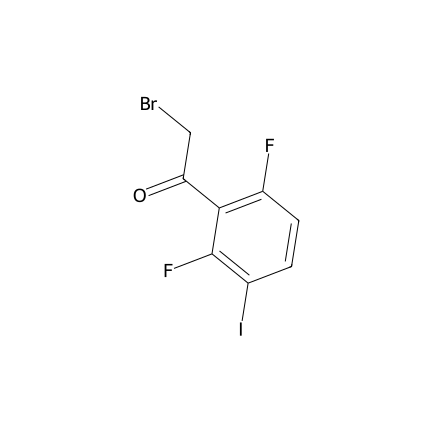 O=C(CBr)c1c(F)ccc(I)c1F